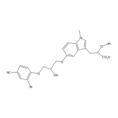 CC(C)OC(Cc1cn(C)c2ccc(OCC(O)COc3ccc(C#N)cc3Br)cc12)C(=O)O